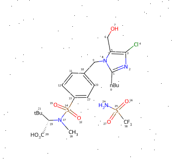 CCCCc1nc(Cl)c(CO)n1Cc1ccc(S(=O)(=O)N(C)[C@H](C(=O)O)C(C)(C)C)cc1.NS(=O)(=O)C(F)(F)F